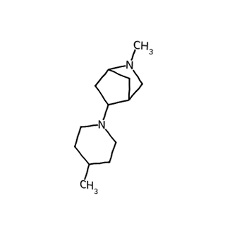 CC1CCN(C2CC3CC2CN3C)CC1